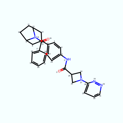 O=C(Nc1ccc(C2CC3CCC(C2)N3C(=O)c2ccccc2)cc1)C1CN(c2cccnn2)C1